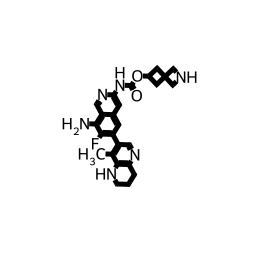 Cc1c(-c2cc3cc(NC(=O)OC4CC5(CNC5)C4)ncc3c(N)c2F)cnc2c1NCCC2